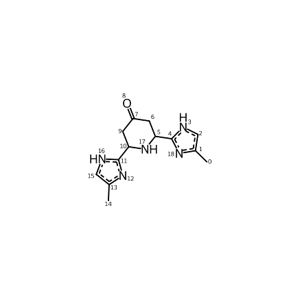 Cc1c[nH]c(C2CC(=O)CC(c3nc(C)c[nH]3)N2)n1